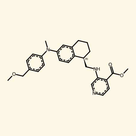 COCc1ccc(N(C)c2ccc3c(c2)CCC[C@H]3CNc2cnccc2C(=O)OC)cc1